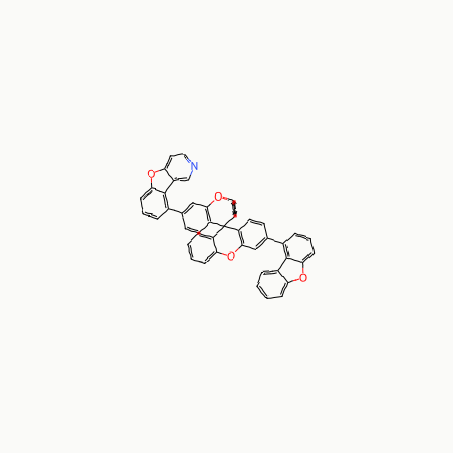 c1ccc2c(c1)Oc1cc(-c3cccc4oc5ccccc5c34)ccc1C21c2ccccc2Oc2cc(-c3cccc4oc5ccncc5c34)ccc21